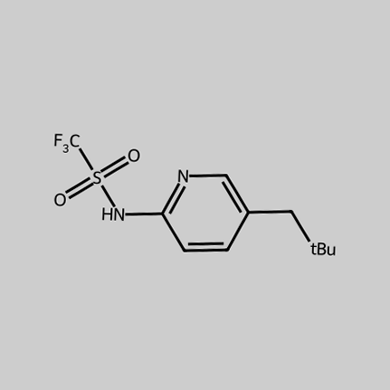 CC(C)(C)Cc1ccc(NS(=O)(=O)C(F)(F)F)nc1